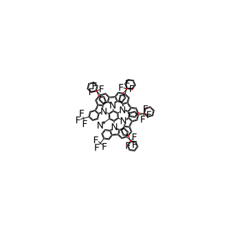 N#Cc1c(-n2c3ccc(C(F)(F)F)cc3c3cc(C(F)(F)F)ccc32)c(-n2c3ccc(-c4ccccc4)cc3c3cc(-c4ccccc4)ccc32)c(-n2c3ccc(C(F)(F)F)cc3c3cc(C(F)(F)F)ccc32)c(-n2c3ccc(-c4ccccc4)cc3c3cc(-c4ccccc4)ccc32)c1-n1c2ccc(C(F)(F)F)cc2c2cc(C(F)(F)F)ccc21